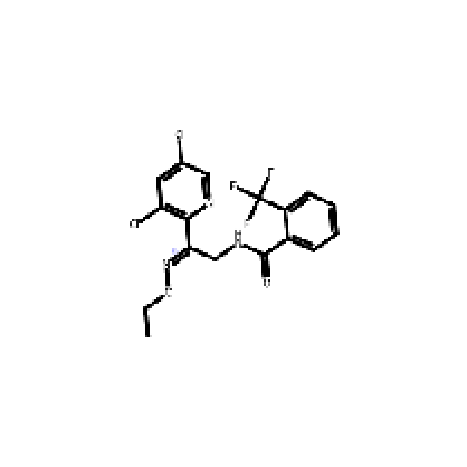 CCO/N=C(\CNC(=O)c1ccccc1C(F)(F)F)c1ncc(Cl)cc1Cl